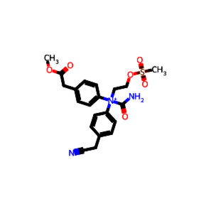 COC(=O)Cc1ccc([N+](CCOS(C)(=O)=O)(C(N)=O)c2ccc(CC#N)cc2)cc1